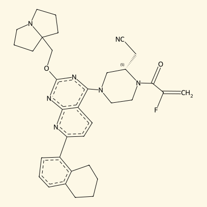 C=C(F)C(=O)N1CCN(c2nc(OCC34CCCN3CCC4)nc3nc(-c4cccc5c4CCCC5)ccc23)C[C@@H]1CC#N